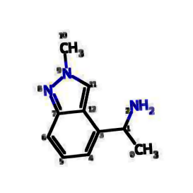 CC(N)c1cccc2nn(C)cc12